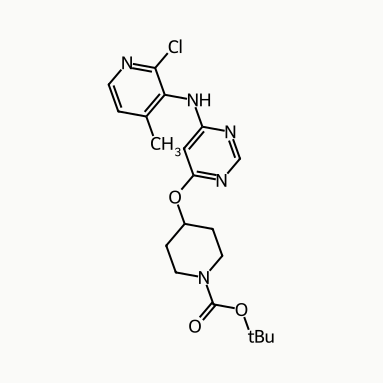 Cc1ccnc(Cl)c1Nc1cc(OC2CCN(C(=O)OC(C)(C)C)CC2)ncn1